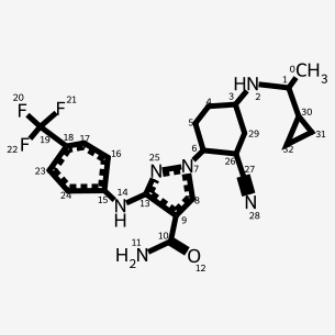 CC(NC1CCC(n2cc(C(N)=O)c(Nc3ccc(C(F)(F)F)cc3)n2)C(C#N)C1)C1CC1